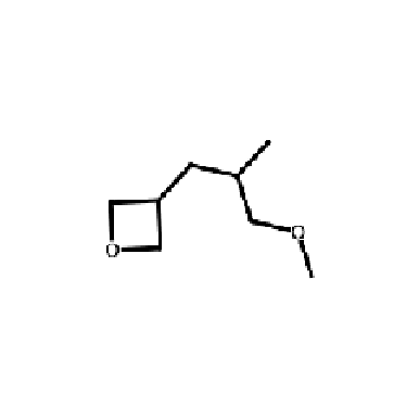 COCC(C)CC1COC1